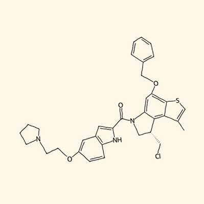 Cc1csc2c(OCc3ccccc3)cc3c(c12)[C@H](CCl)CN3C(=O)c1cc2cc(OCCN3CCCC3)ccc2[nH]1